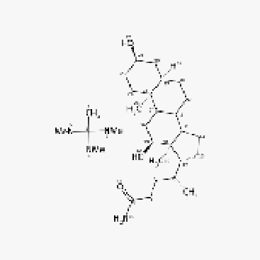 CNC(C)(NC)NC.C[C@H](CCC(N)=O)[C@H]1CCC2C3CC[C@@H]4C[C@H](O)CC[C@]4(C)C3C[C@H](O)[C@@]21C